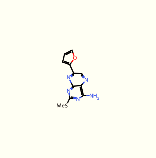 CSc1nc(N)c2ncc(-c3ccco3)nc2n1